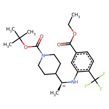 CCOC(=O)c1ccc(C(F)(F)F)c(N[C@@H](C)C2CCN(C(=O)OC(C)(C)C)CC2)c1